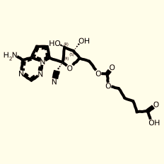 N#C[C@@]1(c2ccc3c(N)ncnn23)OC(COC(=O)OCCCCC(=O)O)[C@@H](O)[C@H]1O